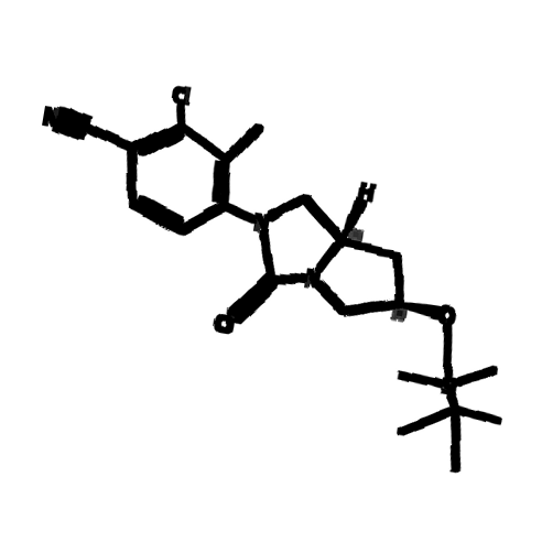 Cc1c(N2C[C@@H]3C[C@@H](O[Si](C)(C)C(C)(C)C)CN3C2=O)ccc(C#N)c1Cl